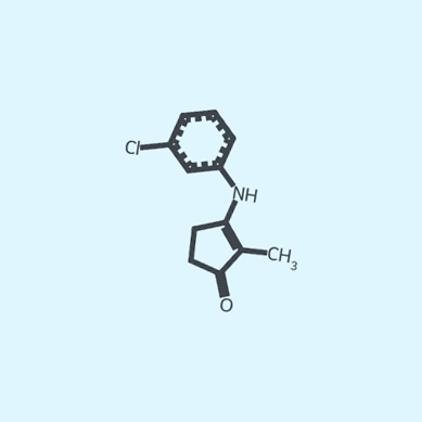 CC1=C(Nc2cccc(Cl)c2)CCC1=O